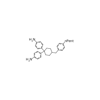 CCCCCc1ccc(CC2CCC(c3ccc(N)cc3)(c3ccc(N)cc3)CC2)cc1